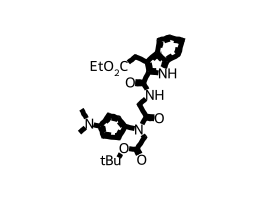 CCOC(=O)Cc1c(C(=O)NCC(=O)N(CC(=O)OC(C)(C)C)c2ccc(N(C)C)cc2)[nH]c2ccccc12